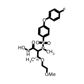 COCCO[C@H](C)C(C(=O)NO)N(C)S(=O)(=O)c1ccc(Oc2ccc(F)cc2)cc1